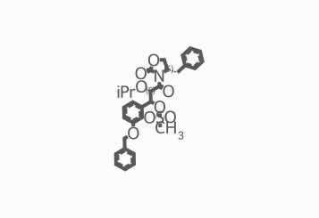 CC(C)O[C@H](C(=O)N1C(=O)OC[C@@H]1Cc1ccccc1)C(OS(C)(=O)=O)c1cccc(OCc2ccccc2)c1